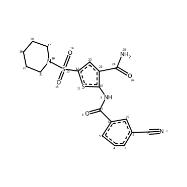 N#Cc1cccc(C(=O)Nc2sc(S(=O)(=O)N3CCCCC3)cc2C(N)=O)c1